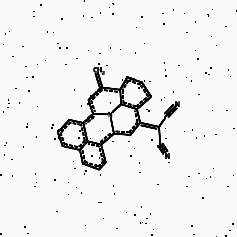 C=c1cc2c3cccc4cccc(c5cc(=C(C#N)C#N)c6cccc1c6N25)c43